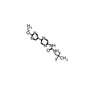 COc1ncc(-c2cnc(NC(=O)NCC(C)(F)F)cn2)cn1